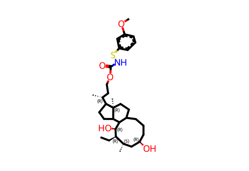 CC[C@@H]1[C@@H](C)C[C@H](O)CCCC2CC[C@@]3(C)C(CCC3[C@H](C)CCOC(=O)NSc3cccc(OC)c3)C2[C@@H]1O